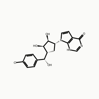 O=c1nc[nH]c2c1ccn2[C@@H]1C[C@H]([C@H](O)c2ccc(Cl)cc2)[C@@H](O)[C@H]1O